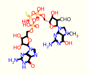 CN1CN([C@@H]2O[C@H](COP(=O)(O)OP(O)(=S)OP(=O)(O)OCC3OC(n4cnc5c(=O)[nH]c(N)nc54)C(O)C3O)C(O)C2C=O)c2nc(N)nc(O)c21